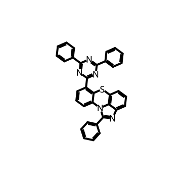 c1ccc(-c2nc(-c3ccccc3)nc(-c3cccc4c3Sc3cccc5nc(-c6ccccc6)n-4c35)n2)cc1